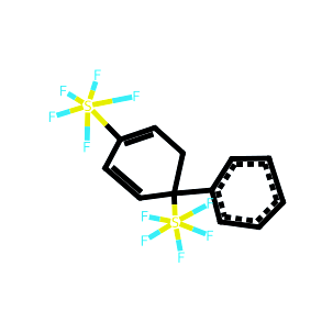 FS(F)(F)(F)(F)C1=CCC(c2ccccc2)(S(F)(F)(F)(F)F)C=C1